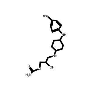 CC(C)(C)c1ccc(NC2CCC(NCC(O)COC(N)=O)CC2)cc1